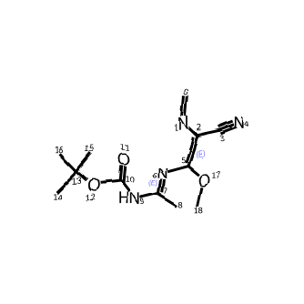 C=N/C(C#N)=C(\N=C(/C)NC(=O)OC(C)(C)C)OC